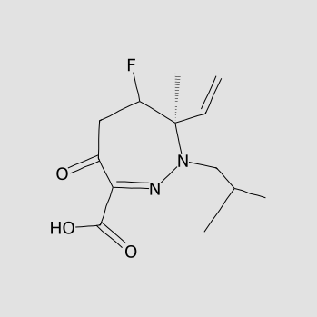 C=C[C@]1(C)C(F)CC(=O)C(C(=O)O)=NN1CC(C)C